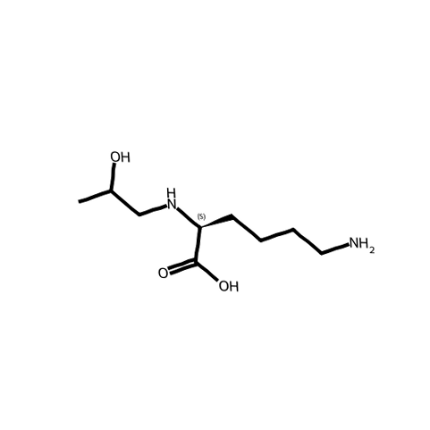 CC(O)CN[C@@H](CCCCN)C(=O)O